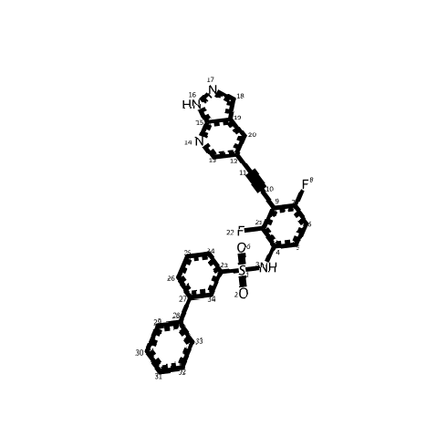 O=S(=O)(Nc1ccc(F)c(C#Cc2cnc3[nH]ncc3c2)c1F)c1cccc(-c2ccccc2)c1